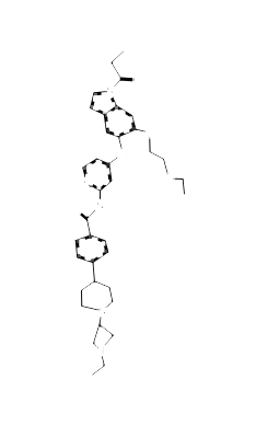 CCOCCOc1cc2c(ccn2C(=O)CC)cc1Oc1ccnc(NC(=O)c2ccc(C3CCN(C4CN(CC)C4)CC3)cc2)c1